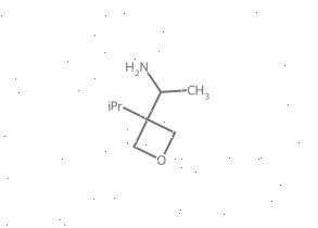 CC(C)C1(C(C)N)COC1